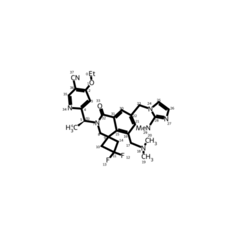 CCOc1cc([C@H](C)N2CC3(CC(F)(F)C3)c3c(CN(C)C)cc(Cn4ccnc4NC)cc3C2=O)ncc1C#N